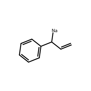 C=C[CH]([Na])c1ccccc1